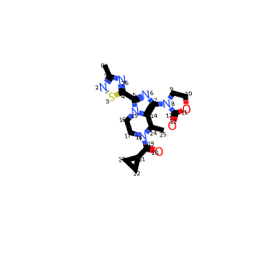 Cc1nsc(-c2nc(N3CCOC3=O)c3n2CCN(C(=O)C2CC2)C3C)n1